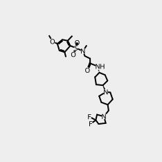 COc1cc(C)c(S(=O)(=O)N(C)CCC(=O)N[C@H]2CC[C@H](N3CCC(CN4CCC(F)(F)C4)CC3)CC2)c(C)c1